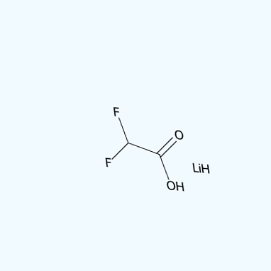 O=C(O)C(F)F.[LiH]